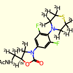 [2H]C1([2H])SC([2H])([2H])C([2H])([2H])N(c2c(F)cc(N3C(=O)O[C@@]([2H])(C([2H])([2H])NC(C)=O)C3([2H])[2H])cc2F)C1([2H])[2H]